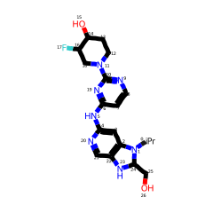 CC(C)N1c2cc(Nc3ccnc(N4CCC(O)C(F)C4)n3)ncc2NC1CO